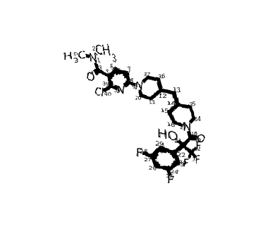 CN(C)C(=O)c1ccc(N2CCC(CC3CCN(C(=O)C(O)(c4cc(F)cc(F)c4)C(F)(F)F)CC3)CC2)nc1Cl